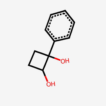 OC1CCC1(O)c1ccccc1